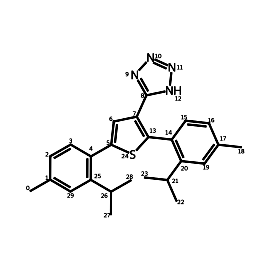 Cc1ccc(-c2cc(-c3nnn[nH]3)c(-c3ccc(C)cc3C(C)C)s2)c(C(C)C)c1